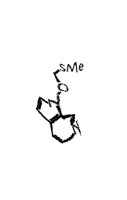 CSCOn1ccc2ccncc21